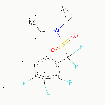 N#CCN(C1CC1)S(=O)(=O)C(F)(F)c1ccc(F)c(F)c1F